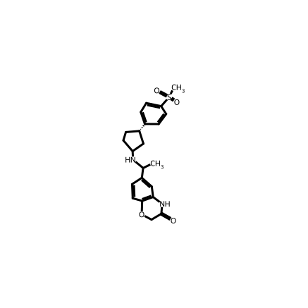 CC(NC1CC[C@H](c2ccc(S(C)(=O)=O)cc2)C1)c1ccc2c(c1)NC(=O)CO2